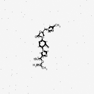 Cc1cn(C[C@H]2CN(c3ccc(-n4cnc(C(O[SiH](C)C)C(C)(C)C)c4)c(F)c3)C(=O)O2)nn1